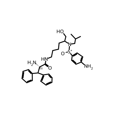 CC(C)CN(C(CO)CCCCNC(=O)[C@@H](N)C(c1ccccc1)c1ccccc1)[S+]([O-])c1ccc(N)cc1